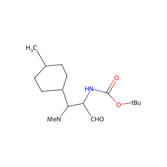 CNC(C1CCC(C)CC1)C(C=O)NC(=O)OC(C)(C)C